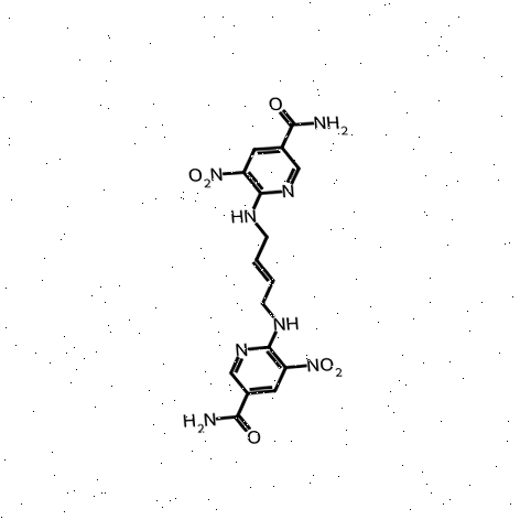 NC(=O)c1cnc(NC/C=C/CNc2ncc(C(N)=O)cc2[N+](=O)[O-])c([N+](=O)[O-])c1